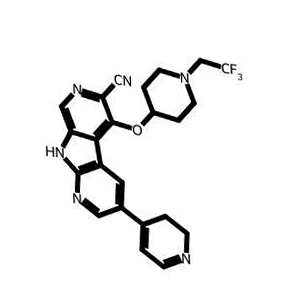 N#Cc1ncc2[nH]c3ncc(C4=CC=NCC4)cc3c2c1OC1CCN(CC(F)(F)F)CC1